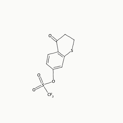 O=C1CCSc2cc(OS(=O)(=O)C(F)(F)F)ccc21